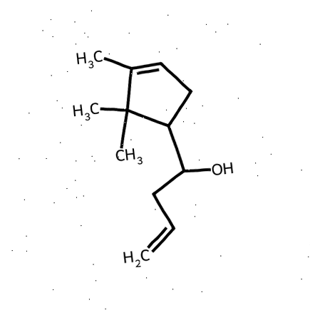 C=CCC(O)C1CC=C(C)C1(C)C